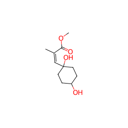 COC(=O)C(C)=CC1(O)CCC(O)CC1